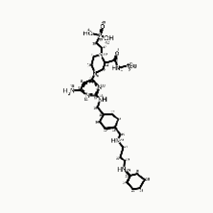 CC(C)(C)NC(=O)C1CN(c2cc(N)nc(NCC3CCC(CNCCCNC4CCCCC4)CC3)n2)CCN1CCP(=O)(O)O